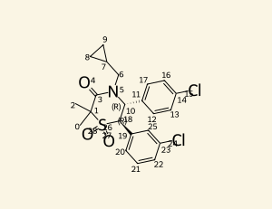 CC1(C)C(=O)N(CC2CC2)[C@H](c2ccc(Cl)cc2)[C@@H](c2cccc(Cl)c2)S1(=O)=O